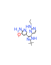 CCCNc1nccc(-c2[nH]c(C(C)(C)C)nc2-c2cnc(N)c(OC)c2)n1